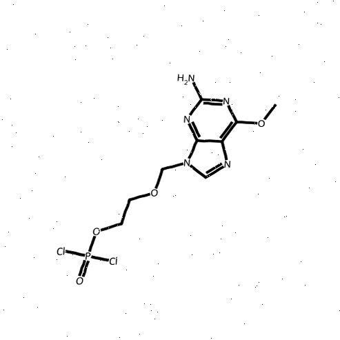 COc1nc(N)nc2c1ncn2COCCOP(=O)(Cl)Cl